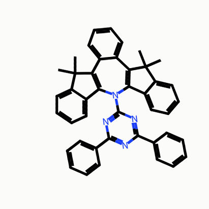 CC1(C)C2=C(c3ccccc31)N(c1nc(-c3ccccc3)nc(-c3ccccc3)n1)C1=C(c3ccccc32)C(C)(C)c2ccccc21